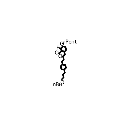 CCCCCOc1ccc2cc(CCc3ccc(CCCCOCCCC)cc3)oc(=O)c2c1F